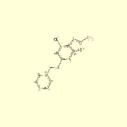 Cc1cc2c(Cl)nc(SCc3ccccc3)nc2s1